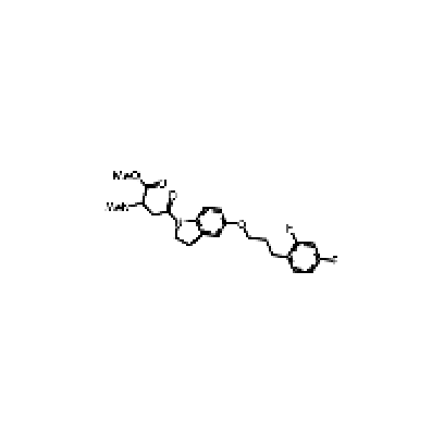 CNC(CC(=O)N1CCc2cc(OCCCc3ccc(F)cc3F)ccc21)C(=O)OC